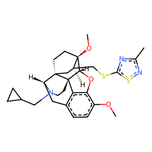 COc1ccc2c3c1O[C@H]1[C@@]4(OC)CC[C@@]5(C[C@@H]4CSc4nc(C)ns4)[C@@H](C2)N(CC2CC2)CC[C@]315